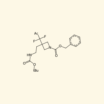 CC(=O)C(F)(F)C1(CCNC(=O)OC(C)(C)C)CN(C(=O)OCc2ccccc2)C1